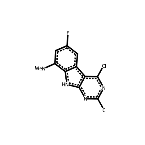 CNc1cc(F)cc2c1[nH]c1nc(Cl)nc(Cl)c12